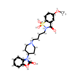 O=C1c2cc(OC(F)(F)F)ccc2S(=O)(=O)N1CCCCN1CCC(n2c(=O)oc3ccccc32)CC1